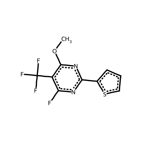 COc1nc(-c2cccs2)nc(F)c1C(F)(F)F